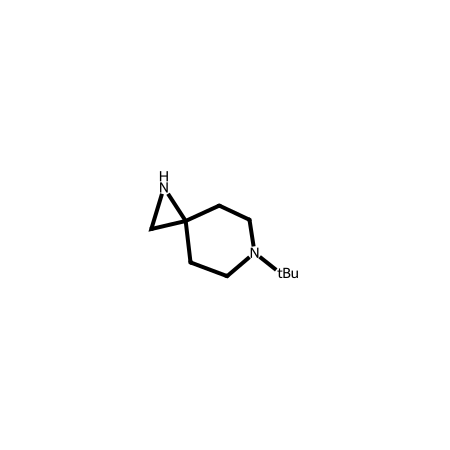 CC(C)(C)N1CCC2(CC1)CN2